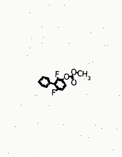 COC(=O)Oc1ccc(F)c(-c2ccccc2)c1F